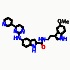 COc1ccc2[nH]cc(CCNC(=O)c3cc4cc(Nc5nccc(-c6cccnc6)n5)ccc4[nH]3)c2c1